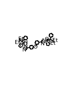 CCN(CC)[C@@H](C(=O)N1CCC[C@H]1c1nc(-c2cccc(Oc3ccc(-c4cnc([C@@H]5CCCN5C(=O)[C@@H](c5ccccc5)N(CC)CC)[nH]4)cc3)c2)c[nH]1)c1ccccc1